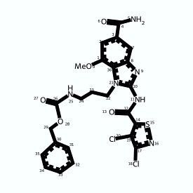 COc1cc(C(N)=O)cc2nc(NC(=O)c3snc(Cl)c3Cl)n(CCCNC(=O)OCc3ccccc3)c12